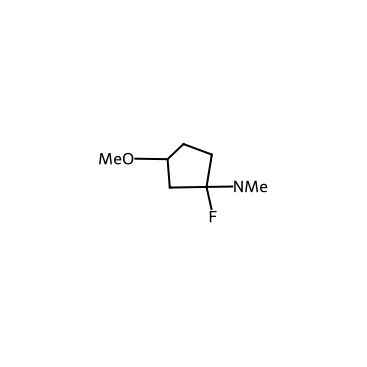 CNC1(F)CCC(OC)C1